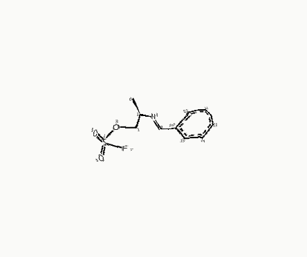 C[C@H](COS(=O)(=O)F)/N=C/c1ccccc1